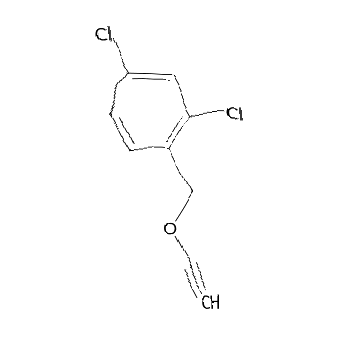 C#COCc1ccc(Cl)cc1Cl